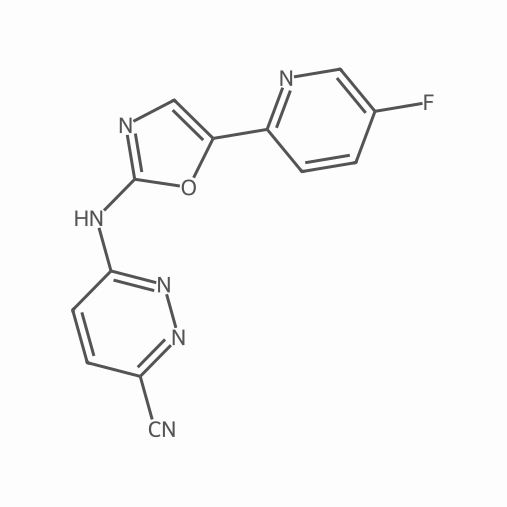 N#Cc1ccc(Nc2ncc(-c3ccc(F)cn3)o2)nn1